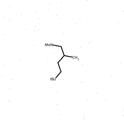 CNCC(C)CCC(C)(C)C